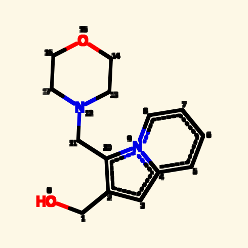 OCc1cc2ccccn2c1CN1CCOCC1